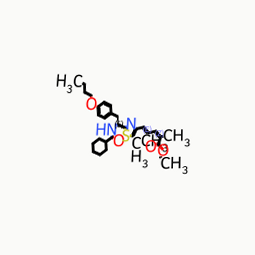 CCCCOc1ccc(C[C@H](NC(=O)C2CCCCC2)c2nc(/C=C(C)/C=C(/C)C(=O)OCC)c(C)s2)cc1